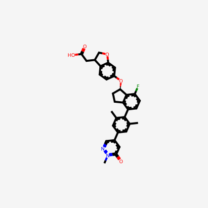 Cc1cc(-c2cnn(C)c(=O)c2)cc(C)c1-c1ccc(F)c2c1CC[C@H]2Oc1ccc2c(c1)OCC2CC(=O)O